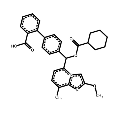 COc1cn2c(C(OC(=O)C3CCCCC3)c3ccc(-c4ccccc4C(=O)O)cc3)ccc(C)c2n1